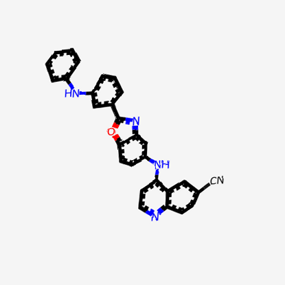 N#Cc1ccc2nccc(Nc3ccc4oc(-c5cccc(Nc6ccccc6)c5)nc4c3)c2c1